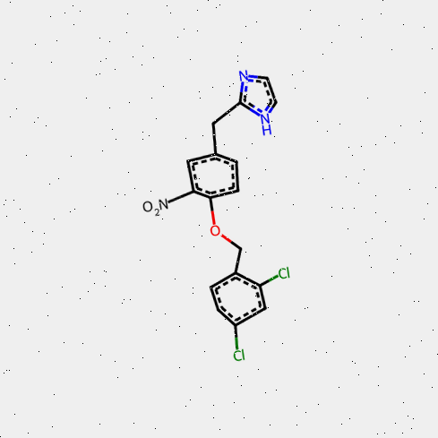 O=[N+]([O-])c1cc(Cc2ncc[nH]2)ccc1OCc1ccc(Cl)cc1Cl